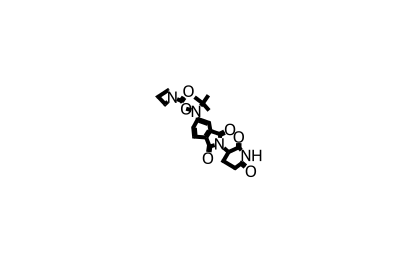 CC(C)(C)N(OC(=O)N1CCC1)c1ccc2c(c1)C(=O)N(C1CCC(=O)NC1=O)C2=O